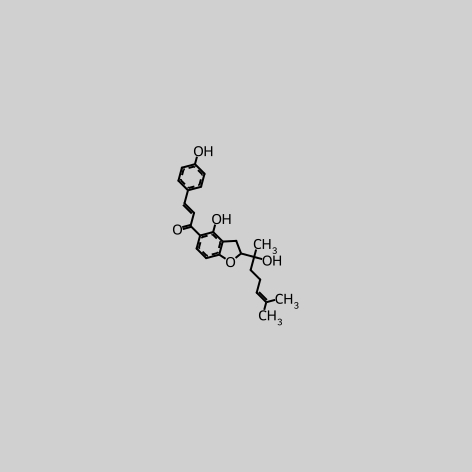 CC(C)=CCCC(C)(O)C1Cc2c(ccc(C(=O)C=Cc3ccc(O)cc3)c2O)O1